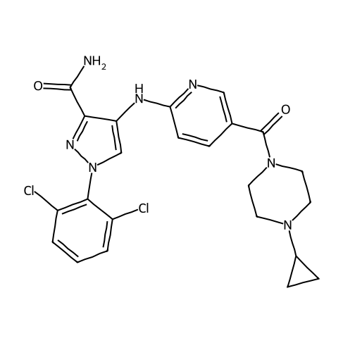 NC(=O)c1nn(-c2c(Cl)cccc2Cl)cc1Nc1ccc(C(=O)N2CCN(C3CC3)CC2)cn1